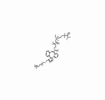 CCC(C)(CNC(=O)CCC(=O)N1Cc2ccccc2-c2c(nnn2CCCOCCNC)-c2ccccc21)OCCC(C)(C)C(=O)C(C)C